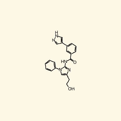 O=C(Nc1nc(CCO)cn1-c1ccccc1)c1cccc(-c2cn[nH]c2)c1